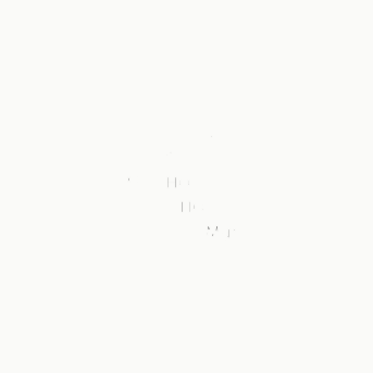 O=C=O.[Mg+2].[OH-].[OH-]